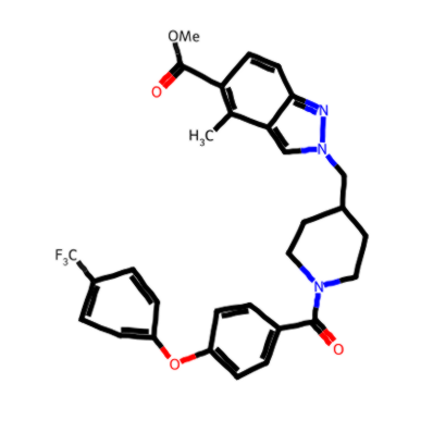 COC(=O)c1ccc2nn(CC3CCN(C(=O)c4ccc(Oc5ccc(C(F)(F)F)cc5)cc4)CC3)cc2c1C